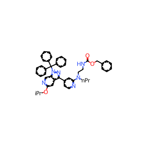 CCCN(CCNC(=O)OCc1ccccc1)c1cc(-c2nn(C(c3ccccc3)(c3ccccc3)c3ccccc3)c3cnc(OC(C)C)cc23)ccn1